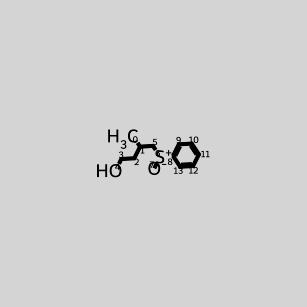 CC(CCO)C[S+]([O-])c1ccccc1